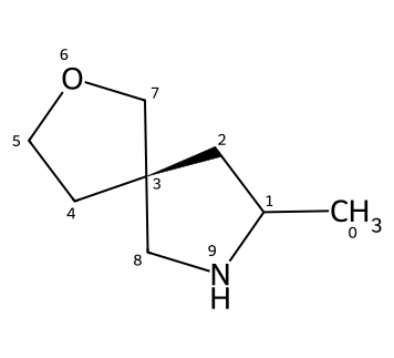 CC1C[C@]2(CCOC2)CN1